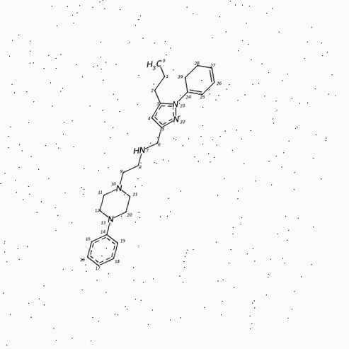 CCCc1cc(CNCCN2CCN(c3ccccc3)CC2)nn1C1=CC=CCC1